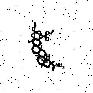 C=C(N)[C@]1(C)CC[C@]2(C)CC[C@]3(C)C4=CCc5c(cc(OC(=O)OCC)c(OC(=O)OCC)c5C)[C@]4(C)CC[C@@]3(C)[C@@H]2C1